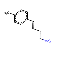 Cc1ccc(/C=C/CCN)cc1